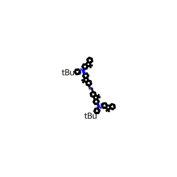 CC(C)(C)c1ccc(N(c2ccc3c(c2)C(C)(C)c2ccccc2-3)c2ccc3c(c2)C(C)(C)c2cc(/C=C/c4ccc5c(c4)C(C)(C)c4cc(N(c6ccc(C(C)(C)C)cc6)c6ccc7c(c6)C(C)(C)c6ccccc6-7)ccc4-5)ccc2-3)cc1